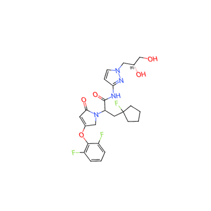 O=C(Nc1ccn(C[C@@H](O)CO)n1)C(CC1(F)CCCC1)N1CC(Oc2c(F)cccc2F)=CC1=O